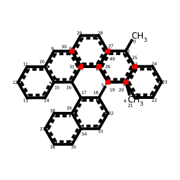 Cc1cc(C)cc(-c2ccc3ccccc3c2-c2c(P(c3ccccc3)c3ccccc3)ccc3ccccc23)c1